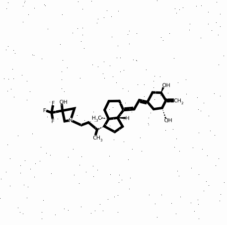 C=C1[C@H](O)CC(=C/C=C2\CCC[C@]3(C)[C@@H](C(C)CCN4CC(O)(C(F)(F)F)C4)CC[C@@H]23)C[C@H]1O